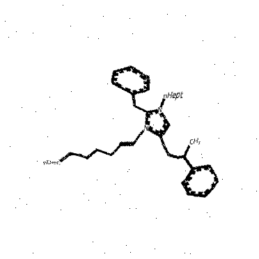 CCCCCCCCCCCCCCCC[n+]1c(CC(C)c2ccccc2)cn(CCCCCCC)c1Cc1ccccc1